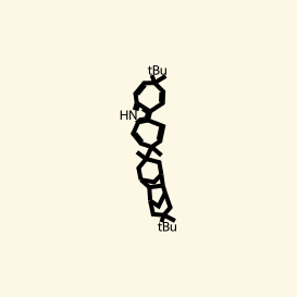 CC(C)(C)C1(C)C=Cc2[nH]c3c(c2C=C1)C=CC(C)(C1(C)CC2CC(C1)C1C4CC(CC(C)(C(C)(C)C)C4)C21)C=C3